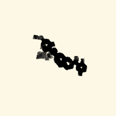 COc1cc(C)c([C@@](C)(C(=O)O)c2ccc3c(c2)CN(C(=O)c2cc(C)ccc2F)CC3)cn1